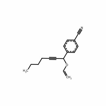 C=COC(C#CCCCC)c1ccc(C#N)cc1